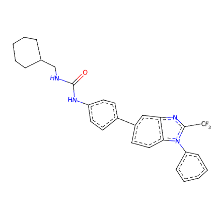 O=C(NCC1CCCCC1)Nc1ccc(-c2ccc3c(c2)nc(C(F)(F)F)n3-c2ccccc2)cc1